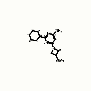 CNC1CN(c2cc(N)nc(C3CCCCC3)n2)C1